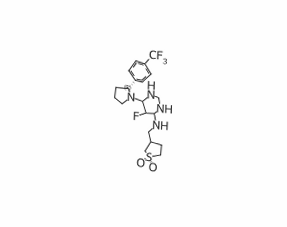 O=S1(=O)CCC(CNC2NCNC(N3CCC[C@@H]3c3ccc(C(F)(F)F)cc3)C2F)C1